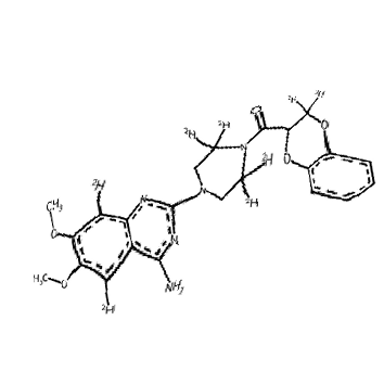 [2H]c1c(OC)c(OC)c([2H])c2c(N)nc(N3CC([2H])([2H])N(C(=O)C4Oc5ccccc5OC4([2H])[2H])C([2H])([2H])C3)nc12